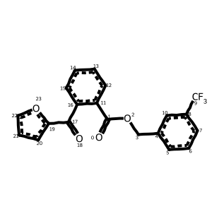 O=C(OCc1cccc(C(F)(F)F)c1)c1ccccc1C(=O)c1ccco1